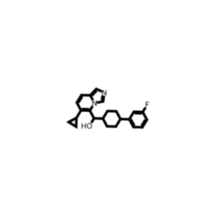 OC(c1c(C2CC2)ccc2cncn12)C1CCC(c2cccc(F)c2)CC1